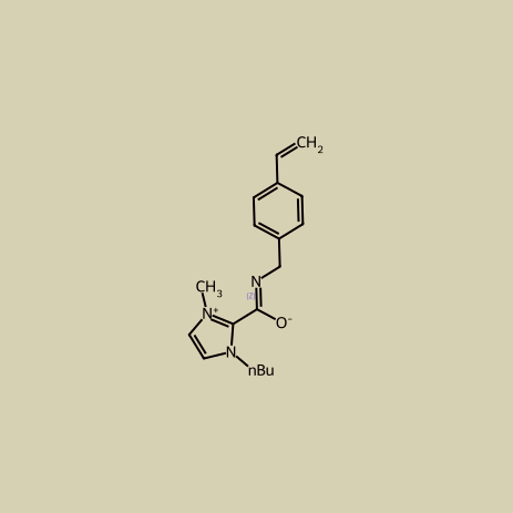 C=Cc1ccc(C/N=C(\[O-])c2n(CCCC)cc[n+]2C)cc1